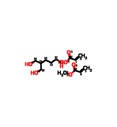 C=CC(=O)O.C=CC(=O)OC.OCCCC(CO)CO